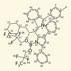 Cc1ccc(C2=N/C(=C(/CCC3CCCCC3)c3c(-c4ccccc4)cc(-c4ccccc4)n3B(OCC(F)(F)C(F)(F)F)OCC(F)(F)C(F)(F)F)c3ccccc32)cc1